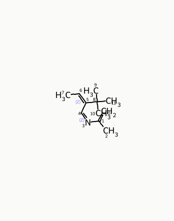 C=C(C)/N=C\C(=C/C)C(C)(C)C